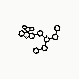 c1ccc(-c2cccc(-c3cc(-c4cccc(-c5ccccc5)c4)nc(-c4cccc(-c5ccc6c(c5)C5(c7ccccc7S6)c6ccccc6-c6ccccc65)c4)n3)c2)cc1